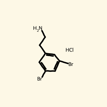 Cl.NCCc1cc(Br)cc(Br)c1